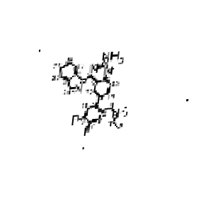 CCN(C)Cc1cc(F)c(F)cc1-c1ccc2nc(N)nc(C3[N]Cc4ccccc43)c2c1